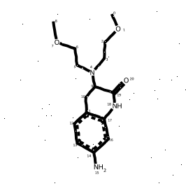 COCCN(CCOC)C1Cc2ccc(N)cc2NC1=O